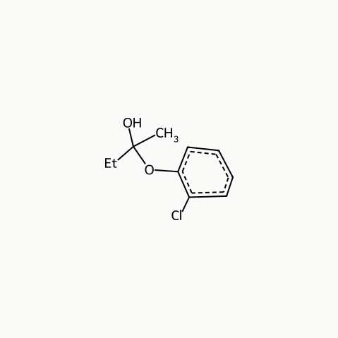 CCC(C)(O)Oc1ccccc1Cl